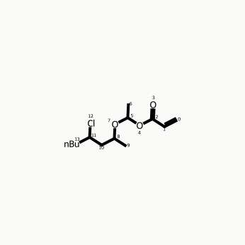 C=CC(=O)OC(C)OC(C)CC(Cl)CCCC